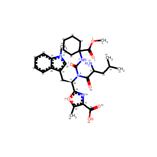 COC(=O)C1(NC(=O)N(C(=O)C(N)CC(C)C)[C@H](Cc2cn(C)c3ccccc23)c2nc(C(=O)O)c(C)o2)CCCCC1